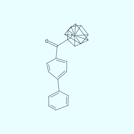 O=C(c1ccc(-c2ccccc2)cc1)[C]12[CH]3[CH]4[CH]5[CH]1[Fe]45321678[CH]2[CH]1[CH]6[CH]7[CH]28